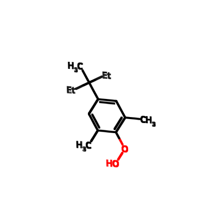 CCC(C)(CC)c1cc(C)c(OO)c(C)c1